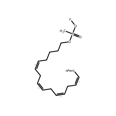 CCCCC/C=C\C/C=C\C/C=C\C/C=C\CCCCOP(C)(=O)OF